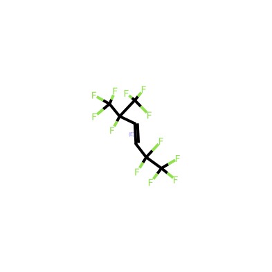 FC(F)(F)C(F)(F)/C=C/C(F)(C(F)(F)F)C(F)(F)F